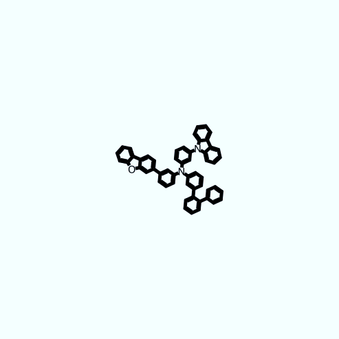 c1ccc(-c2ccccc2-c2cccc(N(c3cccc(-c4ccc5c(c4)oc4ccccc45)c3)c3cccc(-n4c5ccccc5c5ccccc54)c3)c2)cc1